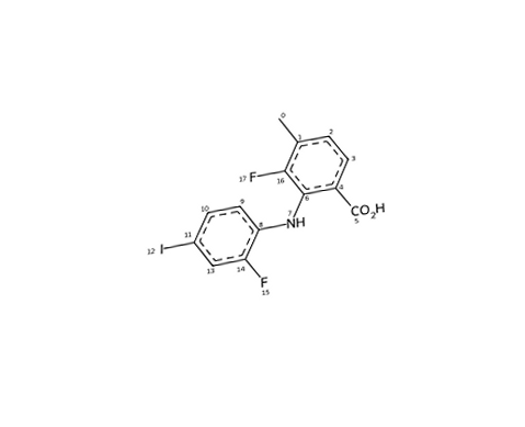 Cc1ccc(C(=O)O)c(Nc2ccc(I)cc2F)c1F